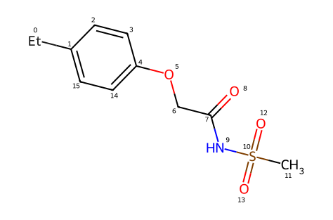 [CH2-][CH+]c1ccc(OCC(=O)NS(C)(=O)=O)cc1